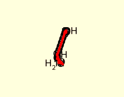 CCCN(OCC)C(=O)C1=Cc2ccc(-c3cnn(S(=O)(=O)N4CC(CNC(=O)CCOCCOCCOCCOCCOCCOCCOCCOCCOCCOCCC(=O)Oc5c(F)c(F)c(S(=O)(=O)O)c(F)c5F)C4)c3)cc2N=C(N)C1